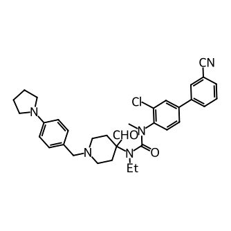 CCN(C(=O)N(C)c1ccc(-c2cccc(C#N)c2)cc1Cl)C1(C=O)CCN(Cc2ccc(N3CCCC3)cc2)CC1